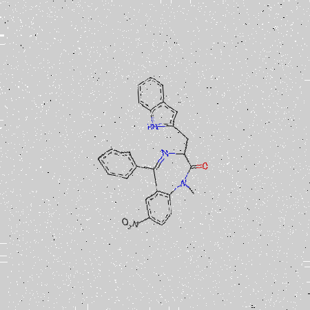 CN1C(=O)C(Cc2cc3ccccc3[nH]2)N=C(c2ccccc2)c2cc([N+](=O)[O-])ccc21